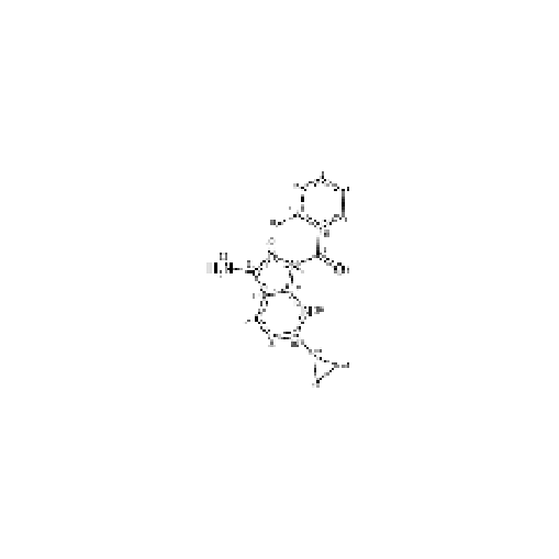 Cc1ccccc1C(=O)n1nc(N)c2ccc(C3CC3)nc21